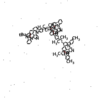 Cc1ccc2c(c1)c1cc(C)ccc1n2-c1cncc(-n2c3ccc(C)cc3c3cc(CCC(C)(C)c4ccc5c6ccccc6n(-c6cncc(-n7c8ccccc8c8ccc(C(C)(C)CCC(C)(C)c9ccc%10c(c9)c9ccccc9n%10-c9cncc(-n%10c%11ccccc%11c%11cc(C(C)(C)C)ccc%11%10)c9-c9ccccc9C#N)cc87)c6-c6ccccc6C#N)c5c4)ccc32)c1-c1ccccc1C#N